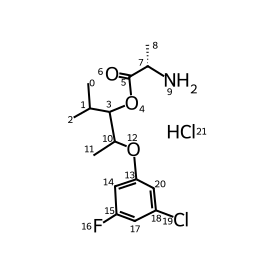 CC(C)C(OC(=O)[C@H](C)N)C(C)Oc1cc(F)cc(Cl)c1.Cl